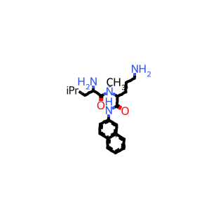 CC(C)CC(N)C(=O)N(C)C(CCCN)C(=O)Nc1ccc2ccccc2c1